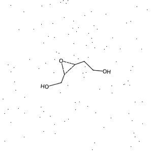 OCCC1OC1CO